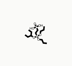 CCCO[Si](CCP(=O)(O)O)(OCCC)OC(CC)CC